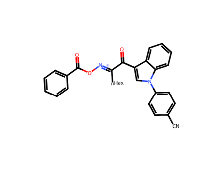 CCCCCC/C(=N\OC(=O)c1ccccc1)C(=O)c1cn(-c2ccc(C#N)cc2)c2ccccc12